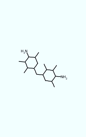 CC1CC(CC2CC(C)C(N)C(C)C2C)C(C)C(C)C1N